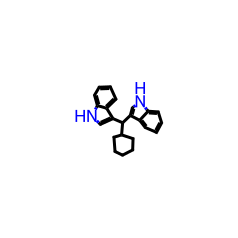 c1ccc2c(C(c3c[nH]c4ccccc34)C3CCCCC3)c[nH]c2c1